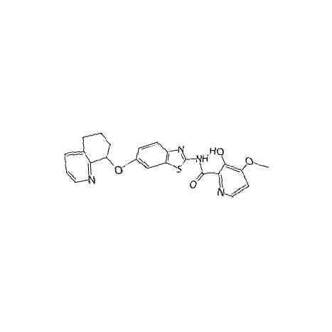 COc1ccnc(C(=O)Nc2nc3ccc(OC4CCCc5cccnc54)cc3s2)c1O